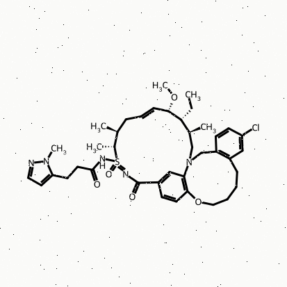 CC[C@H]1[C@@H](OC)/C=C/C[C@H](C)[C@@H](C)S(=O)(NC(=O)CCc2ccnn2C)=NC(=O)c2ccc3c(c2)N(Cc2ccc(Cl)cc2CCCCO3)C[C@@H]1C